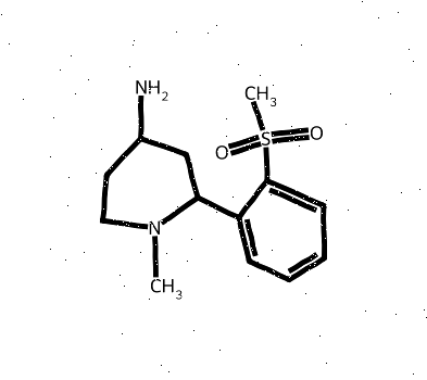 CN1CCC(N)CC1c1ccccc1S(C)(=O)=O